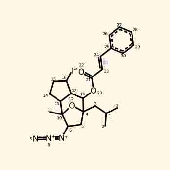 CC(C)CC12CC(N=[N+]=[N-])C(C)(O1)C1CCC(I)C1C2OC(=O)/C=C/c1ccccc1